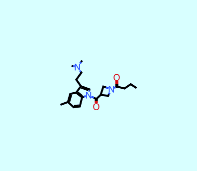 CCCC(=O)N1CC(C(=O)n2cc(CCN(C)C)c3cc(C)ccc32)C1